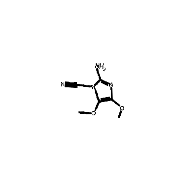 COc1nc(N)n(C#N)c1OC